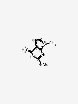 C=C1NC(NC)=Nc2c1ncn2C